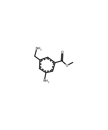 COC(=O)c1cc(N)cc(CN)c1